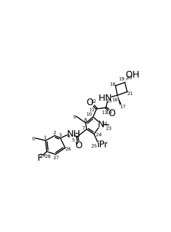 Cc1cc(NC(=O)c2c(C)c(C(=O)C(=O)N[C@]3(C)C[C@H](O)C3)n(C)c2C(C)C)ccc1F